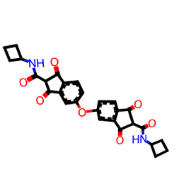 O=C(NC1CCC1)C1C(=O)c2ccc(Oc3ccc4c(c3)C(=O)C(C(=O)NC3CCC3)C4=O)cc2C1=O